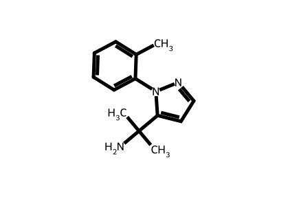 Cc1ccccc1-n1nccc1C(C)(C)N